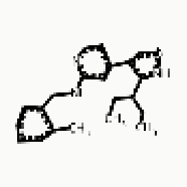 CCC(CC)c1[nH]ncc1-c1ccnc(NCc2ccccc2C)c1